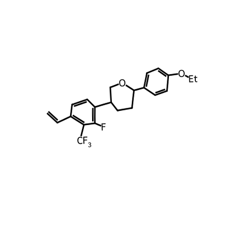 C=Cc1ccc(C2CCC(c3ccc(OCC)cc3)OC2)c(F)c1C(F)(F)F